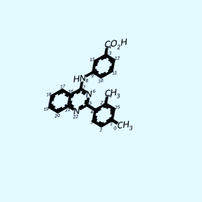 Cc1ccc(-c2nc(Nc3cccc(C(=O)O)c3)c3ccccc3n2)c(C)c1